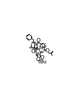 C=CCOC(=O)[C@@H](C)C[C@H](Cc1ccccc1)NC(=O)c1csc([C@@H](C[C@H](C(C)C)N(C)C(=O)OC(C)(C)C)OCC(=C)C)n1